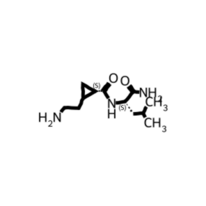 CC(C)C[C@H](NC(=O)[C@H]1CC1CCN)C(N)=O